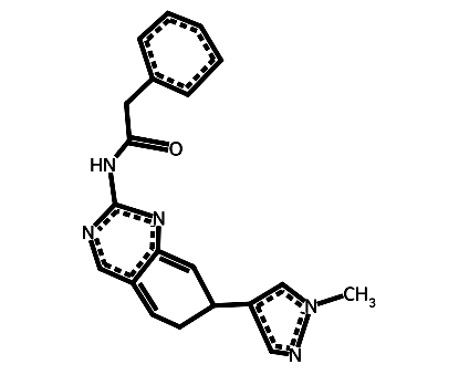 Cn1cc(C2C=c3nc(NC(=O)Cc4ccccc4)ncc3=CC2)cn1